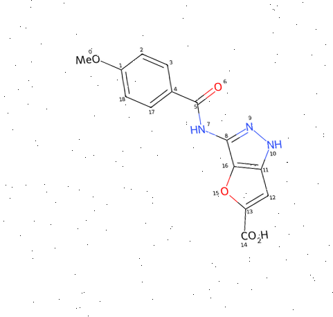 COc1ccc(C(=O)Nc2n[nH]c3cc(C(=O)O)oc23)cc1